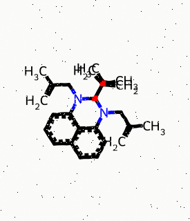 C=C(C)CN(CC(=C)C)c1cccc2cccc(N(CC(=C)C)CC(=C)C)c12